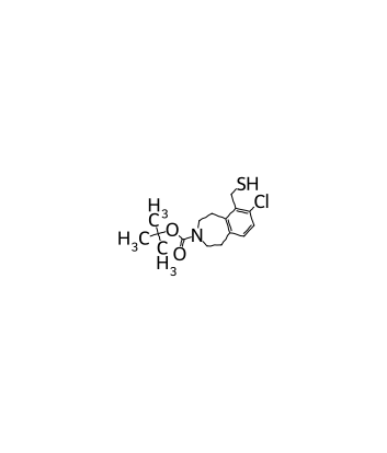 CC(C)(C)OC(=O)N1CCc2ccc(Cl)c(CS)c2CC1